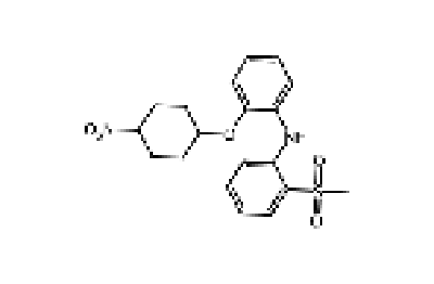 CS(=O)(=O)c1ccccc1Nc1ccccc1OC1CCC([N+](=O)[O-])CC1